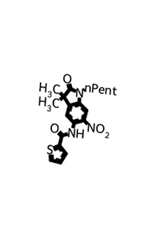 CCCCCN1C(=O)C(C)(C)c2cc(NC(=O)c3cccs3)c([N+](=O)[O-])cc21